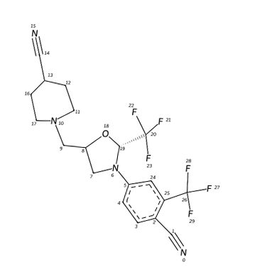 N#Cc1ccc(N2CC(CN3CCC(C#N)CC3)O[C@@H]2C(F)(F)F)cc1C(F)(F)F